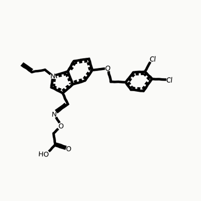 C=CCn1cc(/C=N/OCC(=O)O)c2cc(OCc3ccc(Cl)c(Cl)c3)ccc21